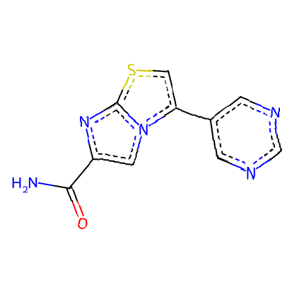 NC(=O)c1cn2c(-c3cncnc3)csc2n1